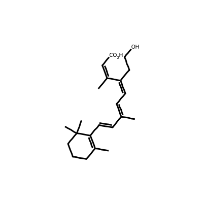 CC(C=CC1=C(C)CCCC1(C)C)=C/C=C(CCO)\C(C)=C/C(=O)O